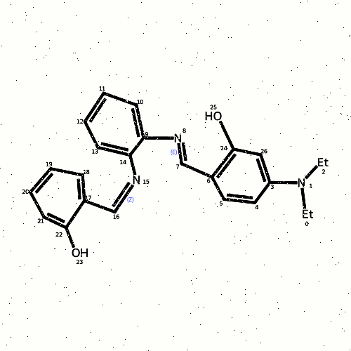 CCN(CC)c1ccc(/C=N/c2ccccc2/N=C\c2ccccc2O)c(O)c1